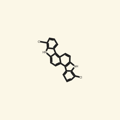 Clc1cccc2c1[nH]c1ccc3c(ccc4[nH]c5c(Cl)cccc5c43)c12